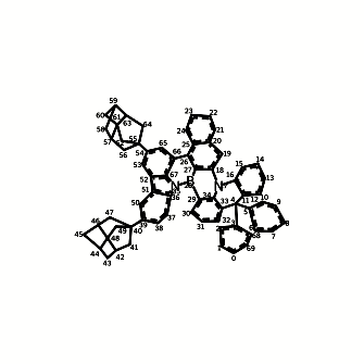 c1ccc(C2(c3ccccc3)c3ccccc3N3c4cc5ccccc5c5c4B(c4cccc2c43)n2c3ccc(C46CC7CC8CC(C4)C87C6)cc3c3cc(C46CC7CC8CC7(C4)C8C6)cc-5c32)cc1